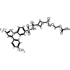 Cc1ccc(-c2cc(C(F)(F)F)nn2-c2ccc(S(=O)(=O)NC(=O)C3CN([N+]([O-])=NOCOC(=O)C(C)(C)C)C3)cc2)cc1